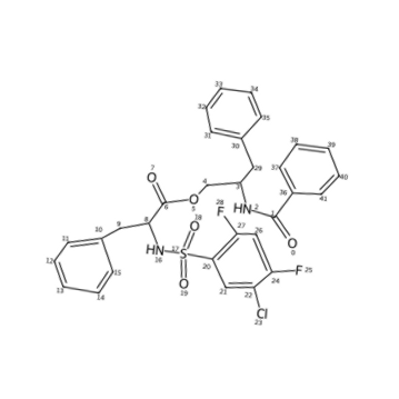 O=C(NC(COC(=O)C(Cc1ccccc1)NS(=O)(=O)c1cc(Cl)c(F)cc1F)Cc1ccccc1)c1ccccc1